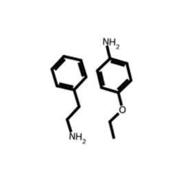 CCOc1ccc(N)cc1.NCCc1ccccc1